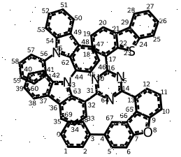 c1ccc(-c2ccc3oc4cccc(-c5nc(-c6cccc7c6sc6ccccc67)nc(-c6cccc7c8ccccc8n(-c8cccc9c%10ccccc%10n(-c%10ccccc%10)c89)c67)n5)c4c3c2)cc1